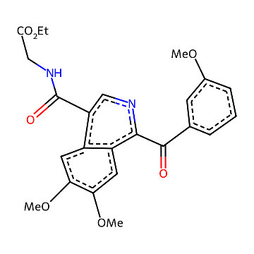 CCOC(=O)CNC(=O)c1cnc(C(=O)c2cccc(OC)c2)c2cc(OC)c(OC)cc12